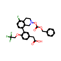 O=C(O)Cc1ccc(OCC(F)(F)F)c(-c2ccc(F)c3c2CN(OC(=O)OCc2ccccc2)CC3)c1